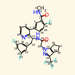 CNC(=O)c1cc(-c2cccnc2[C@H](Cc2cc(F)cc(F)c2)NC(=O)Cn2nc(C(F)(F)F)c3c2CCC3)ccc1F